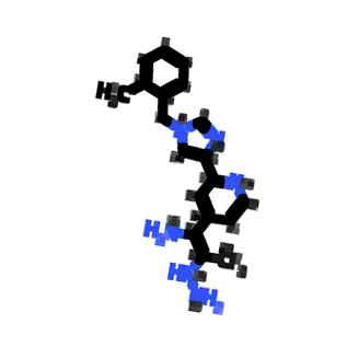 Cc1ccccc1Cn1cnc(-c2cc(/C(N)=C(/NN)C(F)(F)F)ccn2)c1